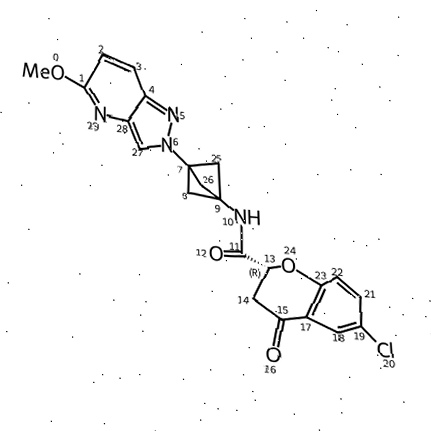 COc1ccc2nn(C34CC(NC(=O)[C@H]5CC(=O)c6cc(Cl)ccc6O5)(C3)C4)cc2n1